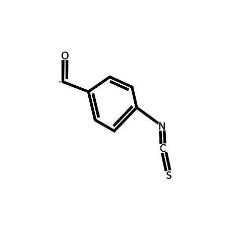 O=[C]c1ccc(N=C=S)cc1